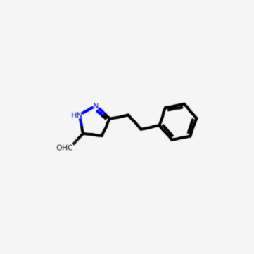 O=CC1CC(CCc2ccccc2)=NN1